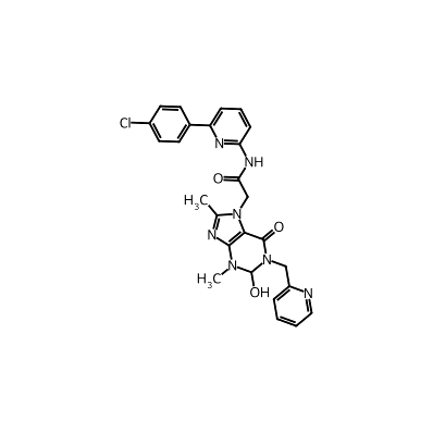 Cc1nc2c(n1CC(=O)Nc1cccc(-c3ccc(Cl)cc3)n1)C(=O)N(Cc1ccccn1)C(O)N2C